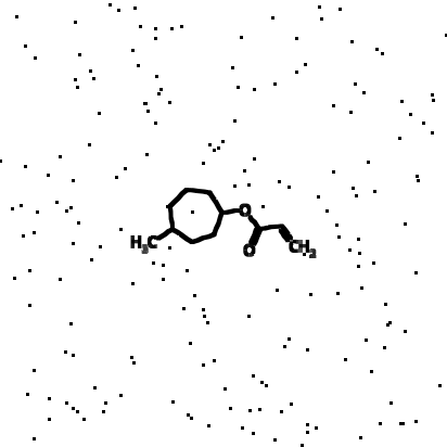 C=CC(=O)OC1CCCC(C)CC1